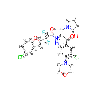 O=C(NC(CN1CCCC1)C(O)c1ccc(N2CCOCC2)c(Cl)c1)C(F)(F)c1cc2cc(Cl)ccc2o1